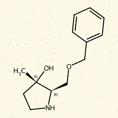 C[C@]1(O)CCN[C@@H]1COCc1ccccc1